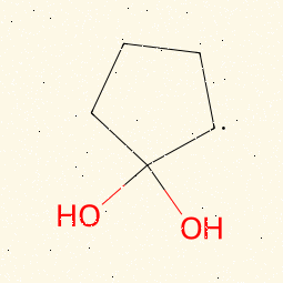 OC1(O)[CH]CCC1